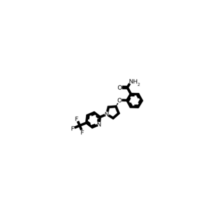 NC(=O)c1ccccc1O[C@@H]1CCN(c2ccc(C(F)(F)F)cn2)C1